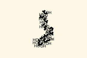 CC(=O)NC1[C@@H](OC(C)[C@H](N)C(=O)NC(C(=O)N2CCC[C@H]2C(=O)NC(C)C(=O)N[C@@H](C)C(=O)NC(C(=O)N[C@H](C(=O)NC(C(=O)O)C(C)C)C(C)C)C(C)C)C(C)C)OC(CO)[C@H](O)[C@@H]1O[C@@H]1OC(CO)[C@H](O)C(O)[C@@H]1O